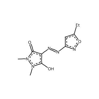 CCc1cc(N=Nc2c(O)n(C)n(C)c2=O)no1